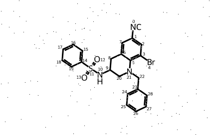 [C-]#[N+]c1cc(Br)c2c(c1)CC(NS(=O)(=O)c1ccccc1)CN2Cc1ccccc1